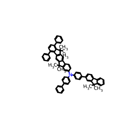 CC1(C)c2ccccc2-c2ccc(-c3ccc(N(c4ccc(-c5ccccc5)cc4)c4ccc5c(c4)C(C)(C)c4cc6c(cc4-5)C(C)(C)c4c(-c5ccccc5)ccc(-c5ccccc5)c4-6)cc3)cc21